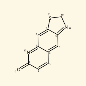 O=C1C=Cc2cc3c(cc2=N1)SCN=3